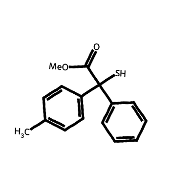 COC(=O)C(S)(c1ccccc1)c1ccc(C)cc1